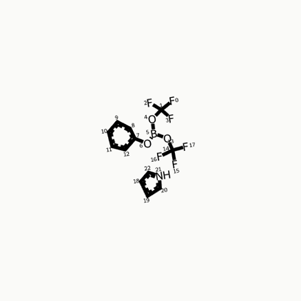 FC(F)(F)OB(Oc1ccccc1)OC(F)(F)F.c1cc[nH]c1